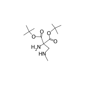 CNCC(N)(C(=O)OC(C)(C)C)C(=O)OC(C)(C)C